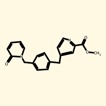 COC(=O)c1cc(Cc2ccc(Cn3ccccc3=O)cc2)ccn1